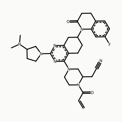 C=CC(=O)N1CCN(c2nc(N3CCC(N(C)C)C3)nc3c2CCC(N2C(=O)CCc4ccc(F)cc42)C3)CC1CC#N